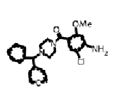 COc1cc(N)c(Cl)cc1C(=O)N1CCN(C(c2ccccc2)c2ccccc2)CC1